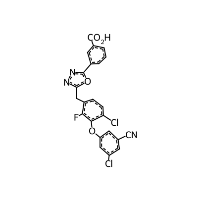 N#Cc1cc(Cl)cc(Oc2c(Cl)ccc(Cc3nnc(-c4cccc(C(=O)O)c4)o3)c2F)c1